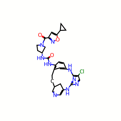 O=C(Nc1ccc2cc1CCC1C=NC=C(C1)Nc1ncc(Cl)c(n1)N2)N[C@H]1CCN(C(=O)c2cc(C3CC3)on2)C1